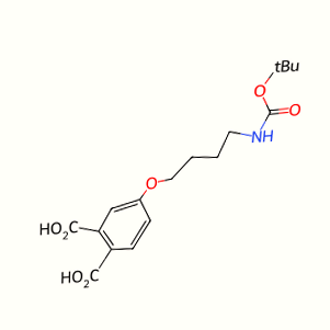 CC(C)(C)OC(=O)NCCCCOc1ccc(C(=O)O)c(C(=O)O)c1